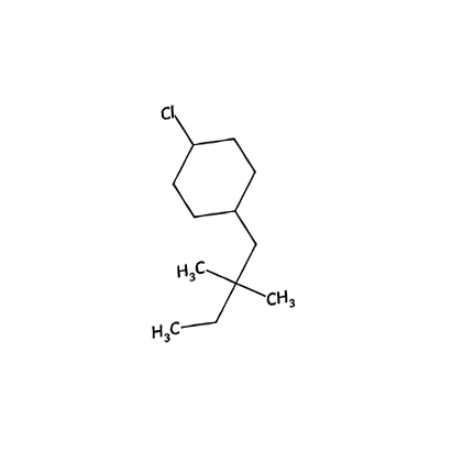 CCC(C)(C)CC1CCC(Cl)CC1